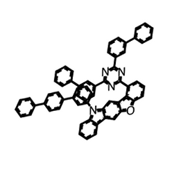 c1ccc(-c2ccc(-c3cccc(-n4c5ccccc5c5cc6oc7cccc(-c8nc(-c9cccc(-c%10ccccc%10)c9)nc(-c9cccc(-c%10ccccc%10)c9)n8)c7c6cc54)c3)cc2)cc1